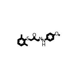 COc1ccc(NN=CC(=O)CSc2c(C)cccc2C)cc1